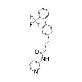 O=C(CCCc1ccc(-c2ccccc2C(F)(F)F)cc1)Nc1cccnc1